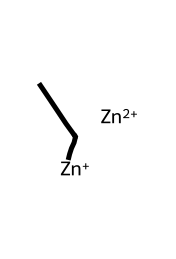 C[CH2][Zn+].[Zn+2]